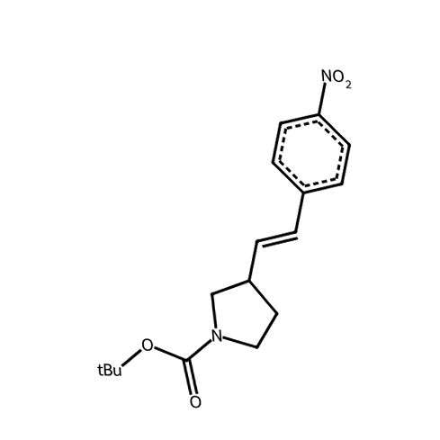 CC(C)(C)OC(=O)N1CCC(/C=C/c2ccc([N+](=O)[O-])cc2)C1